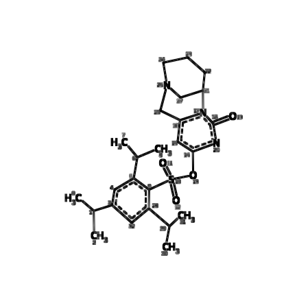 CC(C)c1cc(C(C)C)c(S(=O)(=O)Oc2cc3n(c(=O)n2)C2CCCN(C3)C2)c(C(C)C)c1